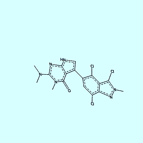 CN(C)c1nc2[nH]cc(-c3cc(Cl)c4nn(C)c(Cl)c4c3Cl)c2c(=O)n1C